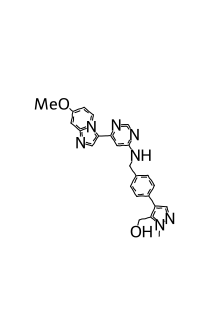 COc1ccn2c(-c3cc(NCc4ccc(-c5cnn(C)c5CO)cc4)ncn3)cnc2c1